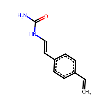 C=Cc1ccc(C=CNC(N)=O)cc1